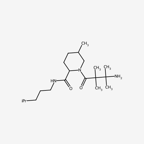 CC(C)CCCNC(=O)C1CCC(C)CN1C(=O)C(C)(C)C(C)(C)N